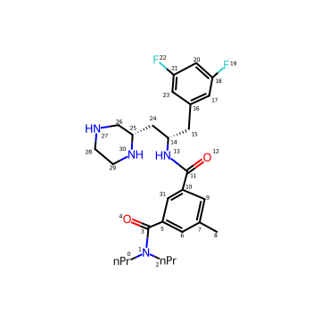 CCCN(CCC)C(=O)c1cc(C)cc(C(=O)N[C@@H](Cc2cc(F)cc(F)c2)C[C@H]2CNCCN2)c1